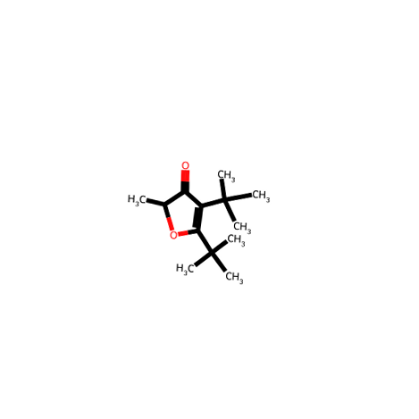 CC1OC(C(C)(C)C)=C(C(C)(C)C)C1=O